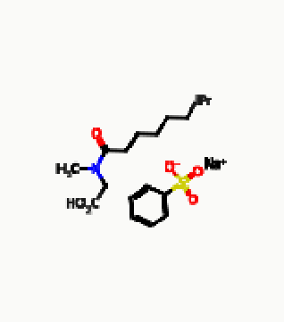 CC(C)CCCCCC(=O)N(C)CC(=O)O.O=S(=O)([O-])c1ccccc1.[Na+]